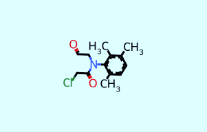 Cc1ccc(C)c(N(CC=O)C(=O)CCl)c1C